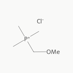 COC[P+](C)(C)C.[Cl-]